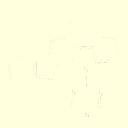 c1ccc2c(c1)oc1c2c2ccccc2c2c3ccccc3n(-c3ncncn3)c12